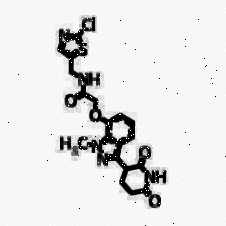 Cn1nc(C2CCC(=O)NC2=O)c2cccc(OCC(=O)NCc3cnc(Cl)s3)c21